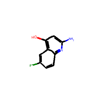 Nc1cc(O)c2cc(F)ccc2n1